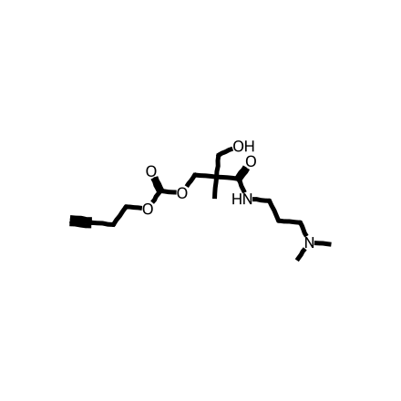 C#CCCOC(=O)OCC(C)(CO)C(=O)NCCCN(C)C